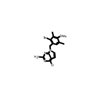 COc1c(C)cc(Cn2ccc3c(Cl)nc(N)nc32)c(Br)c1C